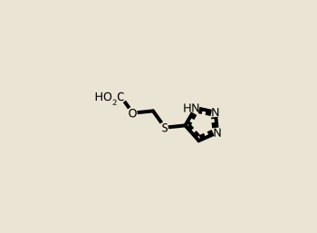 O=C(O)OCSc1cnn[nH]1